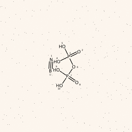 B#N.O=P(O)(O)OP(=O)(O)O